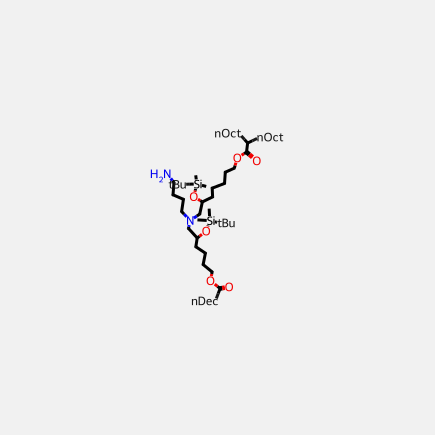 CCCCCCCCCCC(=O)OCCCCC(CN(CCCCN)CC(CCCCCOC(=O)C(CCCCCCCC)CCCCCCCC)O[Si](C)(C)C(C)(C)C)O[Si](C)(C)C(C)(C)C